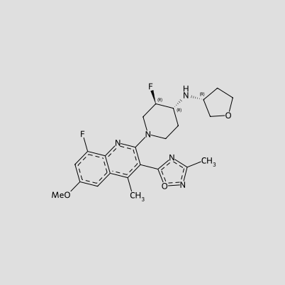 COc1cc(F)c2nc(N3CC[C@@H](N[C@@H]4CCOC4)[C@H](F)C3)c(-c3nc(C)no3)c(C)c2c1